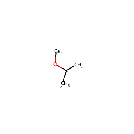 CC(C)[O][Ge]